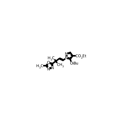 CCOC(=O)c1cnn(/C=C/C(C)(C)c2nnc(C)o2)c1OCC(C)C